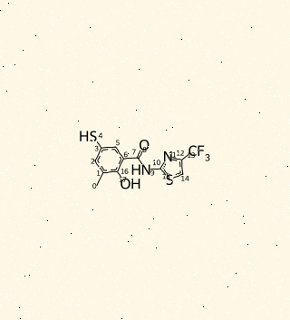 Cc1cc(S)cc(C(=O)Nc2nc(C(F)(F)F)cs2)c1O